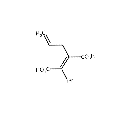 C=CCC(C(=O)O)=C(C(=O)O)C(C)C